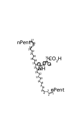 CCCCC/C=C\C/C=C\CCCCCCCCC(CCCCCCCC/C=C\C/C=C\CCCCC)NC(=O)COC(=O)CC(=O)O